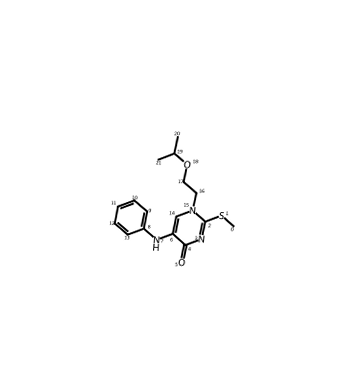 CSc1nc(=O)c(Nc2ccccc2)cn1CCOC(C)C